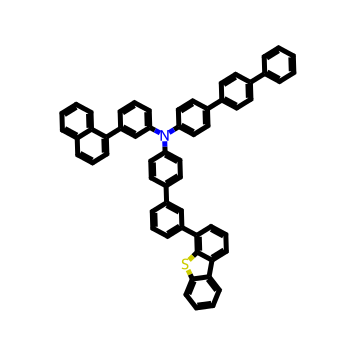 c1ccc(-c2ccc(-c3ccc(N(c4ccc(-c5cccc(-c6cccc7c6sc6ccccc67)c5)cc4)c4cccc(-c5cccc6ccccc56)c4)cc3)cc2)cc1